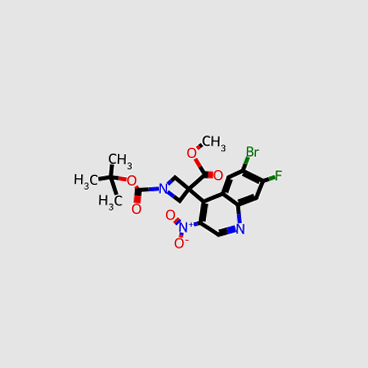 COC(=O)C1(c2c([N+](=O)[O-])cnc3cc(F)c(Br)cc23)CN(C(=O)OC(C)(C)C)C1